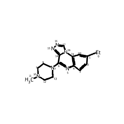 CCc1ccc2nc(N3CCN(C)CC3)c3nncn3c2c1